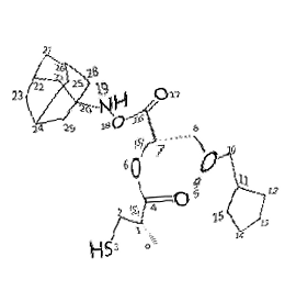 C[C@H](CS)C(=O)O[C@@H](COCC1CCCC1)C(=O)ONC12CC3CC(CC(C3)C1)C2